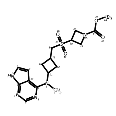 CN(c1ncnc2[nH]ccc12)C1CC(CS(=O)(=O)C2CN(C(=O)OC(C)(C)C)C2)C1